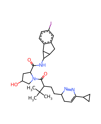 CC(C)(C)C(CCC1CC=C(C2CC2)N=N1)C(=O)N1CC(O)CC1C(=O)NC1C2Cc3cc(I)ccc3C21